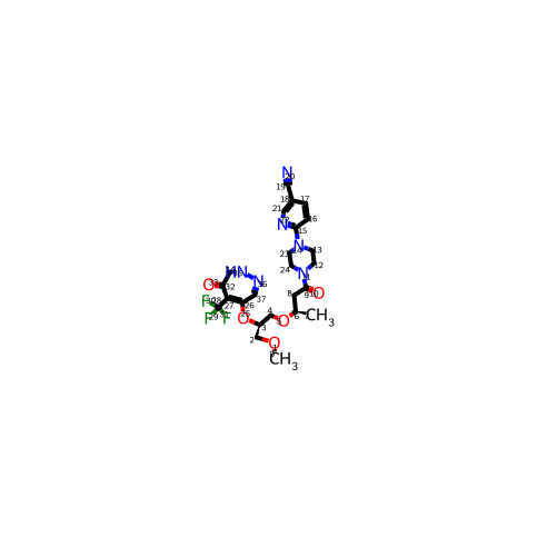 COC[C@H](CO[C@H](C)CC(=O)N1CCN(c2ccc(C#N)cn2)CC1)OC1=C(C(F)(F)F)C(=O)CNN=C1